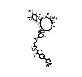 CC[C@H]1OC(=O)[C@H](C)[C@@H](O[C@H]2C[C@@](C)(OC)[C@@H](O)[C@H](C)O2)[C@H](C)[C@@H](O[C@H]2C[C@@H](N(C)CCc3cn([C@H](CF)[C@H](OC)c4ccc(C5=CCS(=O)(=O)C5)cc4)nn3)C[C@@H](C)O2)[C@](C)(O)C[C@@H](C)CN(C)[C@H](C)[C@@H](O)[C@]1(C)O